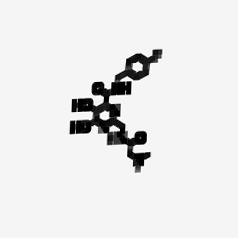 CN(C)CC(=O)NCc1nc(O)c(O)c(C(=O)NCc2ccc(F)cc2)n1